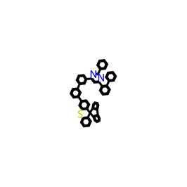 c1ccc(-c2nc(-c3cccc(-c4cccc(-c5ccc6c(c5)Sc5ccccc5C65c6ccccc6-c6ccccc65)c4)c3)cc(-c3ccccc3-c3ccccc3)n2)cc1